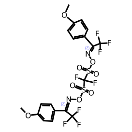 COc1ccc(/C(=N/OS(=O)(=O)C(F)(F)S(=O)(=O)O/N=C(/c2ccc(OC)cc2)C(F)(F)F)C(F)(F)F)cc1